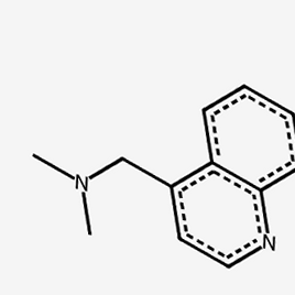 CN(C)Cc1ccnc2ccccc12